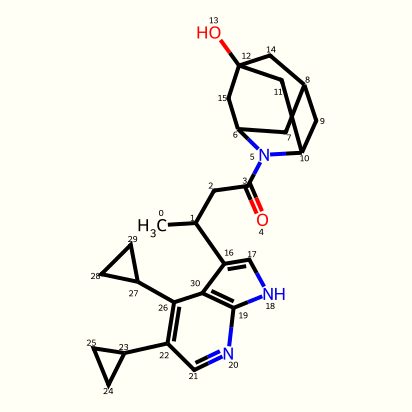 CC(CC(=O)N1C2CC3CC1CC(O)(C3)C2)c1c[nH]c2ncc(C3CC3)c(C3CC3)c12